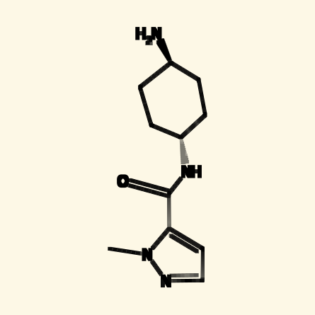 Cn1nccc1C(=O)N[C@H]1CC[C@H](N)CC1